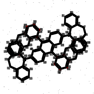 c1ccc2c(c1)CCc1ccccc1N2c1ccc2c(-c3cccc4c3C3c5ccccc5C4c4ccccc43)c3cc(N4c5ccccc5CCc5ccccc54)ccc3c(-c3cccc4c3C3c5ccccc5C4c4ccccc43)c2c1